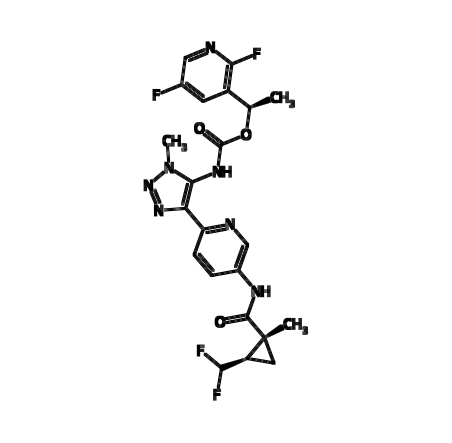 C[C@@H](OC(=O)Nc1c(-c2ccc(NC(=O)[C@]3(C)C[C@H]3C(F)F)cn2)nnn1C)c1cc(F)cnc1F